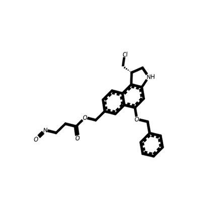 O=NCCC(=O)OCc1ccc2c3c(cc(OCc4ccccc4)c2c1)NC[C@H]3CCl